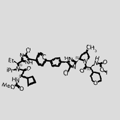 CC[C@@H](c1nc(Cl)c(-c2ccc(-c3ccc(-c4[nH]c([C@@H]5CC(C)CN5C(=O)[C@@H](NC(=O)OI)C5CCOCC5)nc4Cl)cc3)cc2)[nH]1)N(C(=O)[C@@H](NC(=O)OC)C1CCC1)C(C)C